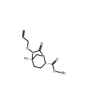 C=CCON1C(=O)N2C[C@H]1CC[C@H]2C(=O)OC(C)(C)C